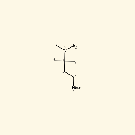 CCN(C)C(C)(C)CCNC